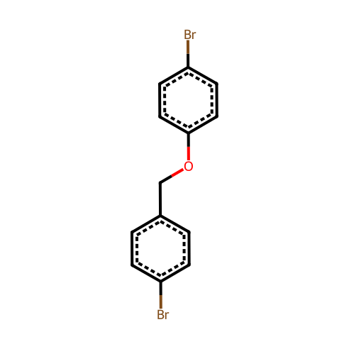 Brc1ccc(COc2ccc(Br)cc2)cc1